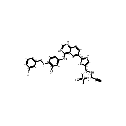 C#CCN[C@H](CS(C)(=O)=O)c1cnc(-c2ccc3ncnc(Nc4ccc(OCc5cccc(F)c5)c(Cl)c4)c3c2)s1